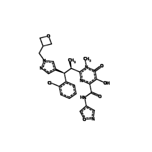 C[C@@H](c1nc(C(=O)Nc2cnoc2)c(O)c(=O)n1C)[C@H](c1cnn(CC2COC2)c1)c1ccccc1Cl